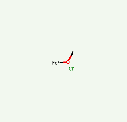 C[O][Fe+].[Cl-]